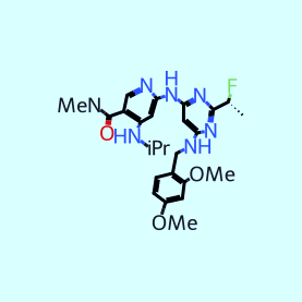 CNC(=O)c1cnc(Nc2cc(NCc3ccc(OC)cc3OC)nc([C@@H](C)F)n2)cc1NC(C)C